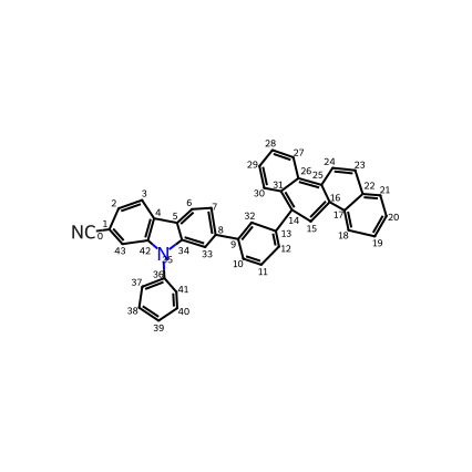 N#Cc1ccc2c3ccc(-c4cccc(-c5cc6c7ccccc7ccc6c6ccccc56)c4)cc3n(-c3ccccc3)c2c1